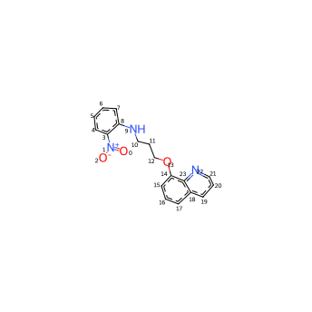 O=[N+]([O-])c1ccccc1NCCCOc1cccc2cccnc12